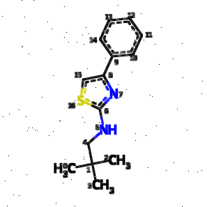 CC(C)(C)CNc1nc(-c2ccccc2)cs1